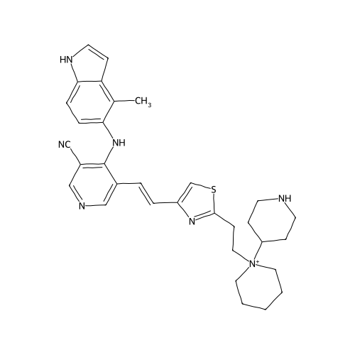 Cc1c(Nc2c(C#N)cncc2/C=C/c2csc(CC[N+]3(C4CCNCC4)CCCCC3)n2)ccc2[nH]ccc12